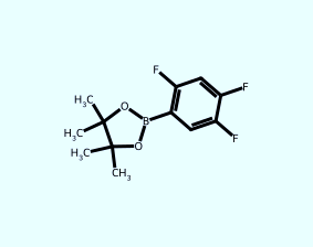 CC1(C)OB(c2cc(F)c(F)cc2F)OC1(C)C